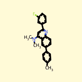 Cc1ccc(-c2ccc3nc(-c4cccc(F)c4)cc(N(C)C)c3c2)cc1